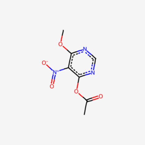 COc1ncnc(OC(C)=O)c1[N+](=O)[O-]